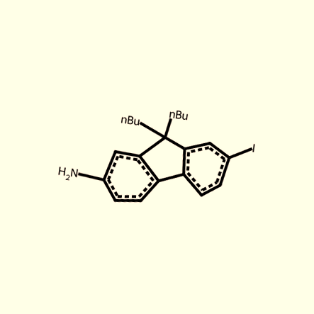 CCCCC1(CCCC)c2cc(N)ccc2-c2ccc(I)cc21